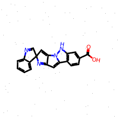 O=C(O)c1ccc2c(c1)[nH]n1c3c(cc21)=NC1(C=Nc2ccccc21)C=3